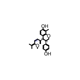 C=C(/C=C\C(OC)=C(C)C)[C@H]1c2ccc(O)c(C)c2OC[C@H]1c1ccc(O)cc1